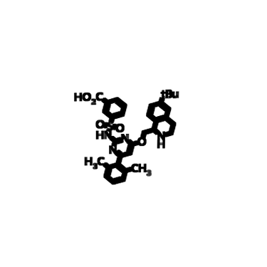 Cc1cccc(C)c1-c1cc(OCC2NCCc3cc(C(C)(C)C)ccc32)nc(NS(=O)(=O)c2cccc(C(=O)O)c2)n1